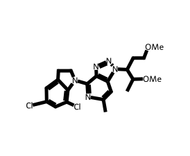 COCCC(C(C)OC)n1nnc2c(N3CCc4cc(Cl)cc(Cl)c43)nc(C)cc21